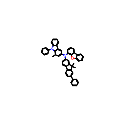 CC1C=C(N(c2ccc3c(c2)C(C)(C)c2cc(-c4ccccc4)ccc2-3)c2cccc3c2oc2ccccc23)C=C2c3ccccc3N(c3ccccc3)C21